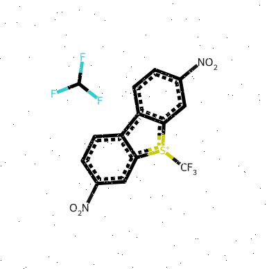 FC(F)F.O=[N+]([O-])c1ccc2c3ccc([N+](=O)[O-])cc3[s+](C(F)(F)F)c2c1